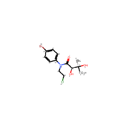 CC(C)(C)[C@](O)(C(=O)O)[C@@H](O)C(=O)N(CCCl)c1ccc(Br)cc1